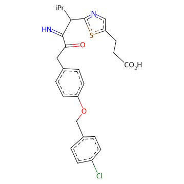 CC(C)C(C(=N)C(=O)Cc1ccc(OCc2ccc(Cl)cc2)cc1)c1ncc(CCC(=O)O)s1